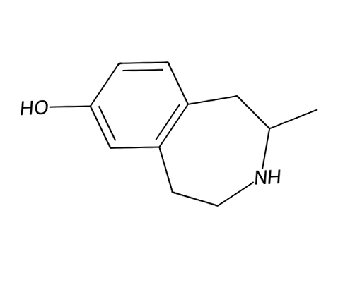 CC1Cc2ccc(O)cc2CCN1